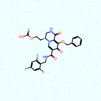 O=C(NCc1c(F)cc(F)cc1F)c1cn2c(c(OCc3ccccc3)c1=O)C(=O)NC[C@@H]2CCOC(O)=S